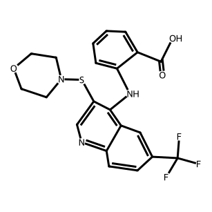 O=C(O)c1ccccc1Nc1c(SN2CCOCC2)cnc2ccc(C(F)(F)F)cc12